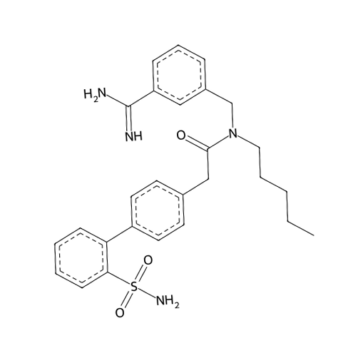 CCCCCN(Cc1cccc(C(=N)N)c1)C(=O)Cc1ccc(-c2ccccc2S(N)(=O)=O)cc1